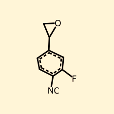 [C-]#[N+]c1ccc(C2CO2)cc1F